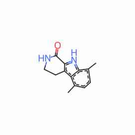 Cc1ccc(C)c2c3c([nH]c12)C(=O)NCC3